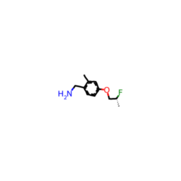 Cc1cc(OC[C@@H](C)F)ccc1CN